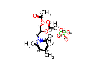 CC(=O)OCC(C[n+]1c(C)cc(C)cc1C)OC(C)=O.[O-][Cl+3]([O-])([O-])[O-]